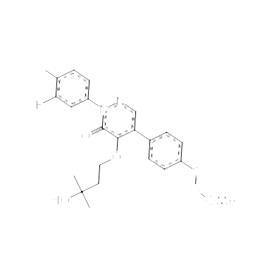 COOSc1ccc(-c2cnn(-c3ccc(F)c(F)c3)c(=O)c2OCCC(C)(C)O)cc1